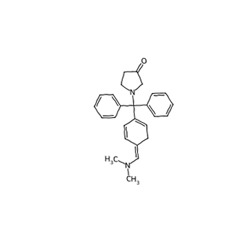 CN(C)C=C1C=CC(C(c2ccccc2)(c2ccccc2)N2CCC(=O)C2)=CC1